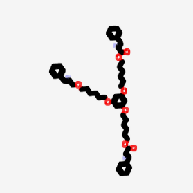 O=C(/C=C/c1ccccc1)OCCCCCCOc1cc(OCCCCCCOC/C=C/c2ccccc2)cc(OCCCCCCOC(=O)/C=C/c2ccccc2)c1